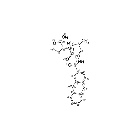 CC(C)C[C@@H](NC(=O)c1ccc2c(c1)Nc1ccccc1S2)C(=O)NC1CCO[C@@H]1O